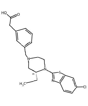 CC[C@@H]1CN(Cc2cccc(CC(=O)O)c2)CCN1c1nc2ccc(Cl)cc2s1